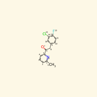 Cc1cccc(C(=O)Cc2ccc(F)c(Cl)c2)n1